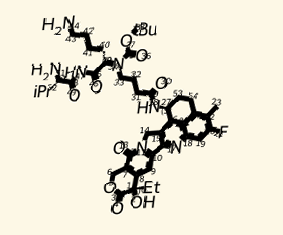 CC[C@@]1(O)C(=O)OCc2c1cc1n(c2=O)Cc2c-1nc1cc(F)c(C)c3c1c2[C@@H](NC(=O)CCCN(C(=O)OC(C)(C)C)[C@@H](CCCCN)C(=O)NC(=O)[C@@H](N)C(C)C)CC3